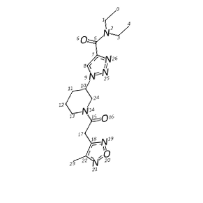 CCN(CC)C(=O)c1cn(C2CCCN(C(=O)Cc3nonc3C)C2)nn1